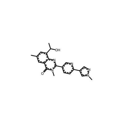 Cc1cc(C(C)O)c2nc(-c3ccc(-c4cnn(C)c4)nc3)n(C)c(=O)c2c1